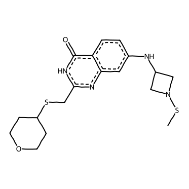 CSN1CC(Nc2ccc3c(=O)[nH]c(CSC4CCOCC4)nc3c2)C1